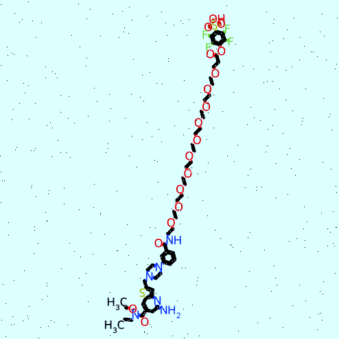 CCCN(OCC)C(=O)C1=Cc2sc(CN3CCN(c4cccc(C(=O)NCCOCCOCCOCCOCCOCCOCCOCCOCCOCCOCCC(=O)Oc5c(F)c(F)c(S(=O)(=O)O)c(F)c5F)c4)CC3)cc2N=C(N)C1